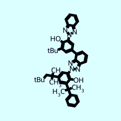 CC(C)(C)CC(C)(C)c1cc(-n2nc3cccc(-c4cc(-n5nc6ccccc6n5)c(O)c(C(C)(C)C)c4)c3n2)c(O)c(C(C)(C)c2ccccc2)c1